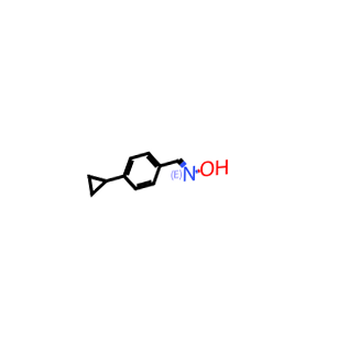 O/N=C/c1ccc(C2CC2)cc1